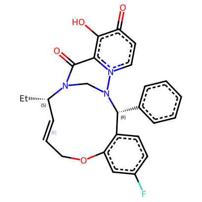 CC[C@H]1/C=C/COc2cc(F)ccc2[C@@H](c2ccccc2)N2CN1C(=O)c1c(O)c(=O)ccn12